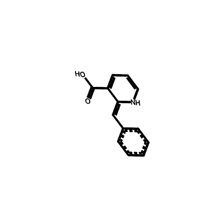 O=C(O)C1=CC=CNC1=Cc1ccccc1